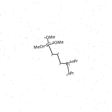 CCCB(CCC)CCC[Si](OC)(OC)OC